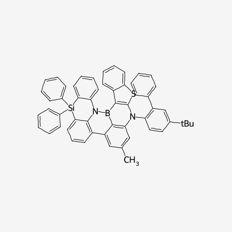 Cc1cc2c3c(c1)N(c1ccc(C(C)(C)C)cc1-c1ccccc1)c1sc4ccccc4c1B3N1c3ccccc3[Si](c3ccccc3)(c3ccccc3)c3cccc-2c31